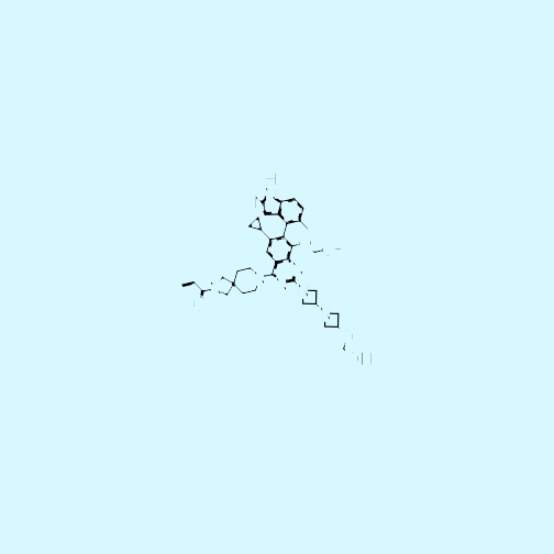 C=CC(=O)N1CC2(CCN(c3nc(N4CC(N5CC(OCO)C5)C4)nc4c(OCC(F)(F)F)c(-c5c(C)ccc6[nH]ncc56)c(C5CC5)cc34)CC2)C1